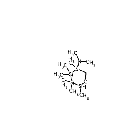 CN(C)[Si]1(C)CO[SiH](C)[Si](C)(C)[Si]1(C)C